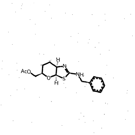 CC(=O)OC[C@H]1[C][C][C@H]2N=C(NCc3ccccc3)S[C@H]2O1